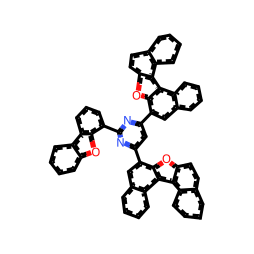 c1ccc2c(c1)ccc1oc3c(-c4cc(-c5cc6ccccc6c6c5oc5ccc7ccccc7c56)nc(-c5cccc6c5oc5ccccc56)n4)cc4ccccc4c3c12